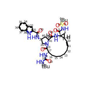 CCC(C)S(=O)(=O)NC(=O)[C@@]12C[C@H]1/C=C\CCCCC[C@H](NC(=O)NC(C)(C)C)C(=O)N1C[C@H](NC(=O)c3cc4ccccc4[nH]3)C[C@H]1C(=O)N2